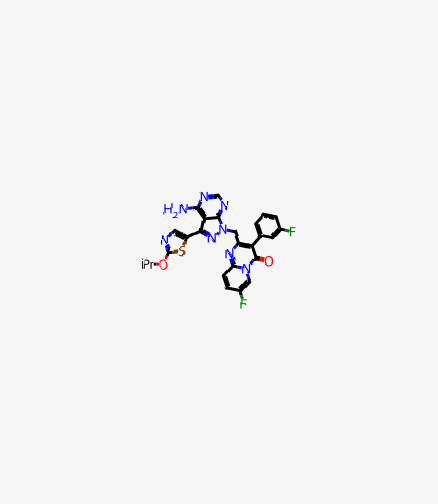 CC(C)Oc1ncc(-c2nn(Cc3nc4ccc(F)cn4c(=O)c3-c3cccc(F)c3)c3ncnc(N)c23)s1